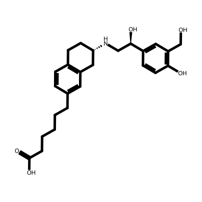 O=C(O)CCCCCc1ccc2c(c1)C[C@@H](NC[C@@H](O)c1ccc(O)c(CO)c1)CC2